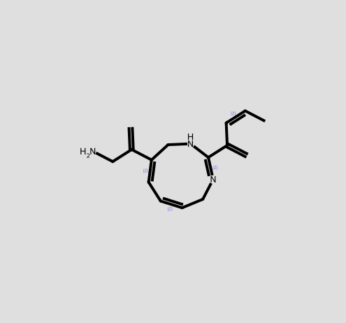 C=C(CN)/C1=C/C=C\C/N=C(/C(=C)/C=C\C)NC1